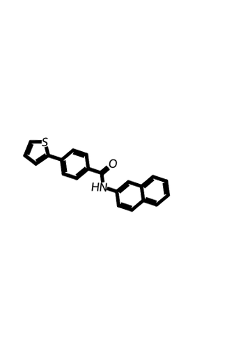 O=C(Nc1ccc2ccccc2c1)c1ccc(-c2cccs2)cc1